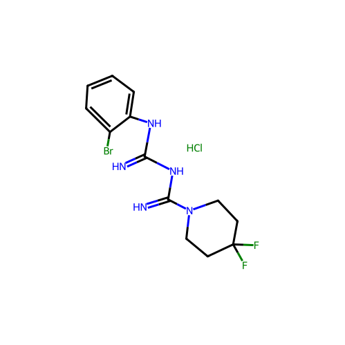 Cl.N=C(NC(=N)N1CCC(F)(F)CC1)Nc1ccccc1Br